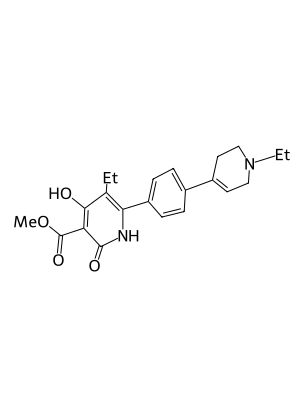 CCc1c(-c2ccc(C3=CCN(CC)CC3)cc2)[nH]c(=O)c(C(=O)OC)c1O